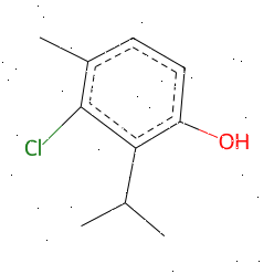 Cc1ccc(O)c(C(C)C)c1Cl